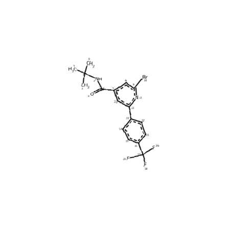 CC(C)(C)NC(=O)c1cc(Br)nc(-c2ccc(C(F)(F)F)cc2)c1